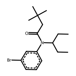 CCC(CC)N(C(=O)CC(C)(C)C)c1cccc(Br)c1